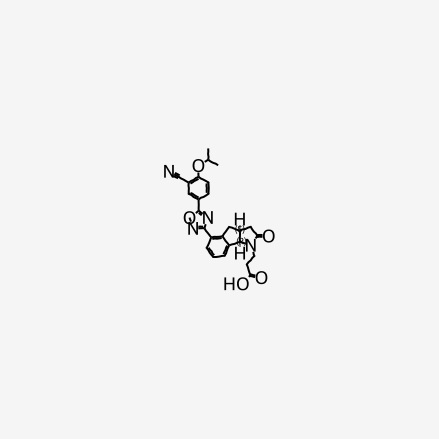 CC(C)Oc1ccc(-c2nc(-c3cccc4c3C[C@H]3CC(=O)N(CCC(=O)O)[C@@H]43)no2)cc1C#N